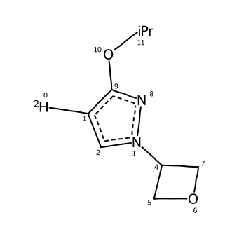 [2H]c1cn(C2COC2)nc1OC(C)C